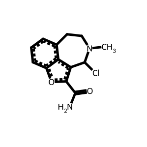 CN1CCc2cccc3oc(C(N)=O)c(c23)C1Cl